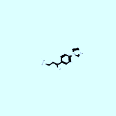 CN(C)CCC(O)c1ccc(-n2ccnc2)cc1